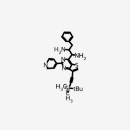 CC(C)(C)[Si](C)(C)C#Cc1csc2c(C(N)C(N)Cc3ccccc3)nc(-c3ccncc3)nc12